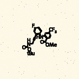 COC(=O)c1ccc(C(F)(F)F)cc1Nc1ccc(F)cc1C#CCNC(=O)OC(C)(C)C